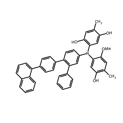 COc1cc(C)c(O)cc1N(c1ccc(-c2ccc(-c3cccc4ccccc34)cc2)c(-c2ccccc2)c1)c1cc(O)c(C)cc1O